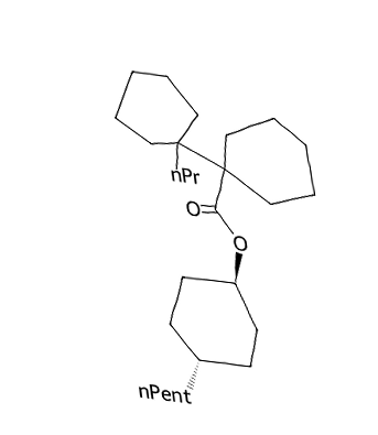 CCCCC[C@H]1CC[C@H](OC(=O)C2(C3(CCC)CCCCC3)CCCCC2)CC1